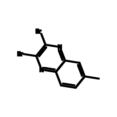 Cc1ccc2nc(Br)c(Br)nc2c1